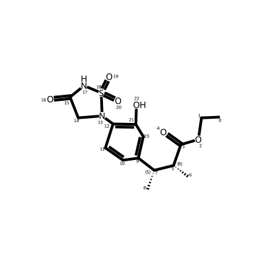 CCOC(=O)[C@H](C)[C@H](C)c1ccc(N2CC(=O)NS2(=O)=O)c(O)c1